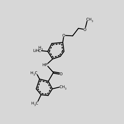 COCCOc1ccc(PC(=O)c2c(C)cc(C)cc2C)c(C)c1.[LiH]